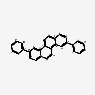 c1ccc(-c2ccc3ccc4c5cc(-c6ccccc6)ccc5ccc4c3c2)cc1